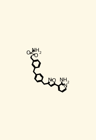 Nc1ncccc1-c1cc(Cc2ccc(Cc3cccc(CS(N)(=O)=O)c3)cc2)no1